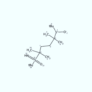 CC(C)(C)[S+]([O-])C(C)(C)CCC(C)(C)S(=N)(=O)C(C)(C)C